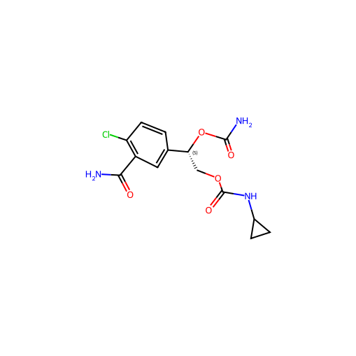 NC(=O)O[C@H](COC(=O)NC1CC1)c1ccc(Cl)c(C(N)=O)c1